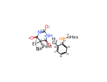 CCCC(C)C1(CC)C(=O)N=C([O-])NC1=O.CCCCCCPc1ccccc1C.[Na+]